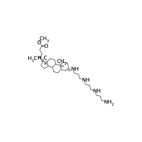 COC(=O)CC[C@@H](C)C1CCC2C3CCC4C[C@@H](NCCCNCCCNCCCN)CC[C@]4(C)C3CC[C@@]21C